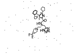 O=C(N[C@@H](CCN1CC2C(C1)C2(F)F)Cc1nnn[nH]1)c1cc(-c2ccccc2C(F)(F)F)n(C2CCCC2)n1